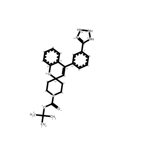 CC(C)(C)OC(=O)N1CCC2(C=C(c3cccc(C4=NNNN4)c3)c3ccccc3O2)CC1